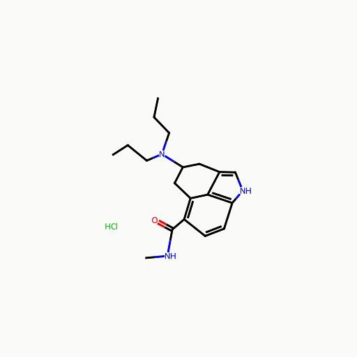 CCCN(CCC)C1Cc2c[nH]c3ccc(C(=O)NC)c(c23)C1.Cl